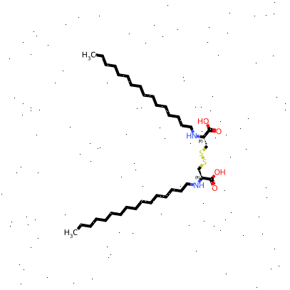 CCCCCCCCCCCCCCCCN[C@@H](CSSC[C@H](NCCCCCCCCCCCCCCCC)C(=O)O)C(=O)O